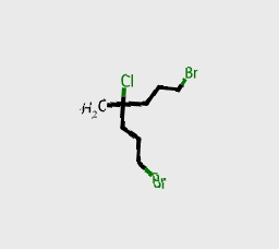 [CH2]C(Cl)(CCCBr)CCCBr